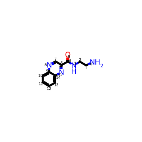 NCCNC(=O)c1cnc2ccccc2n1